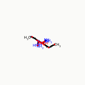 CC/C=C\CCCCCCCCN(CCCCN(CCCCCCCC/C=C\CCCCCCCC)CC(O)CNC(=N)N)CC(O)CNC(=N)N